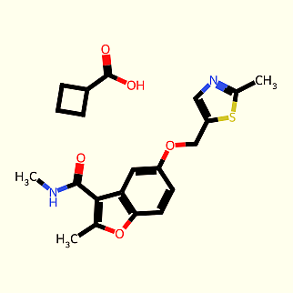 CNC(=O)c1c(C)oc2ccc(OCc3cnc(C)s3)cc12.O=C(O)C1CCC1